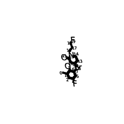 Cc1cc(F)cc(C)c1Oc1c(Br)ccn(CCCF)c1=O